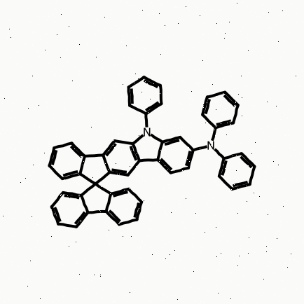 c1ccc(N(c2ccccc2)c2ccc3c4cc5c(cc4n(-c4ccccc4)c3c2)-c2ccccc2C52c3ccccc3-c3ccccc32)cc1